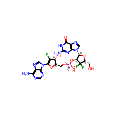 Nc1nc2c(ncn2[C@@H]2O[C@H](CO)C(F)(F)[C@H]2OP(O)(=S)OC[C@H]2OC(n3cnc4c(N)ncnc43)=C(F)[C@@H]2O)c(=O)[nH]1